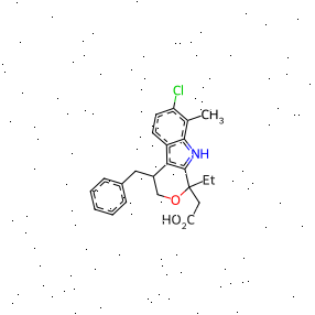 CCC1(CC(=O)O)OCC(Cc2ccccc2)c2c1[nH]c1c(C)c(Cl)ccc21